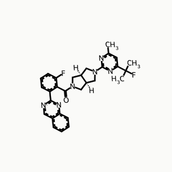 Cc1cc(C(C)(C)F)nc(N2C[C@H]3CN(C(=O)c4c(F)cccc4-c4ncc5ccccc5n4)C[C@H]3C2)n1